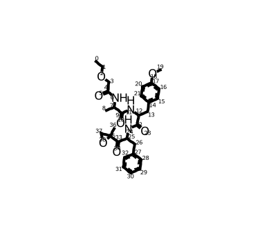 CCOCC(=O)NC(C)C(=O)NC(Cc1ccc(OC)cc1)C(=O)NC(Cc1ccccc1)C(=O)C1(C)CO1